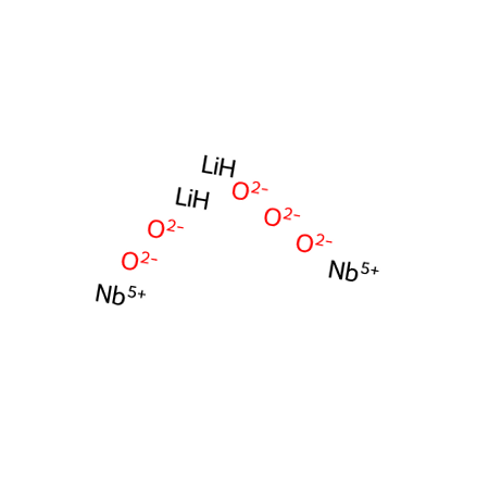 [LiH].[LiH].[Nb+5].[Nb+5].[O-2].[O-2].[O-2].[O-2].[O-2]